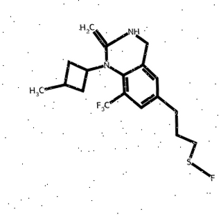 C=C1NCc2cc(CCCSF)cc(C(F)(F)F)c2N1C1CC(C)C1